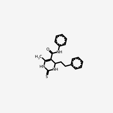 CC1=C(C(=O)Nc2ccccc2)C(CCc2ccccc2)NC(=S)N1